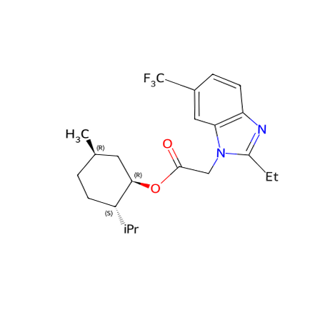 CCc1nc2ccc(C(F)(F)F)cc2n1CC(=O)O[C@@H]1C[C@H](C)CC[C@H]1C(C)C